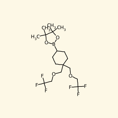 CC1(C)OB(C2CCC(COCC(F)(F)F)(COCC(F)(F)F)CC2)OC1(C)C